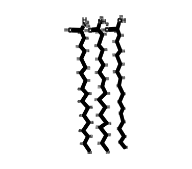 CCCCCCCCCCCCCCCCCC(=O)O.CCCCCCCCCCCCCCCCCC(N)=O.CCCCCCCCCCCCCCCCCC(N)=O